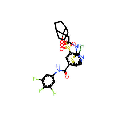 O=C(C[C@]1(O)C2CCC1C[C@@H](S(=O)(=O)c1cc(C(=O)Nc3cc(F)c(F)c(F)c3)ccc1Cl)C2)Nc1nccs1